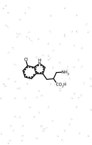 NCC(Cc1c[nH]c2c(Cl)cccc12)C(=O)O